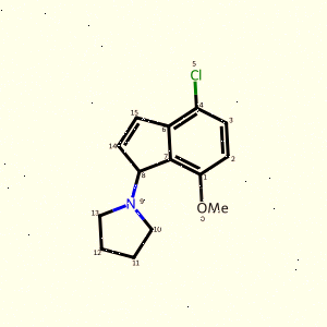 COc1ccc(Cl)c2c1C(N1CCCC1)C=C2